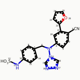 N#Cc1ccc(N(Cc2ccc(NS(=O)(=O)O)cc2)n2cnnc2)cc1-c1ccco1